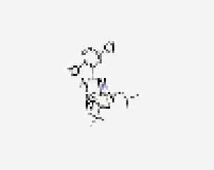 COc1ccc(Cl)cc1C(=NC#N)/N=c1\sc(C(C)(C)C)cn1CC(C)C